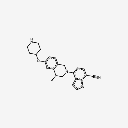 C[C@@H]1CN(c2ccc(C#N)n3nccc23)Cc2ccc(OC3CCNCC3)nc21